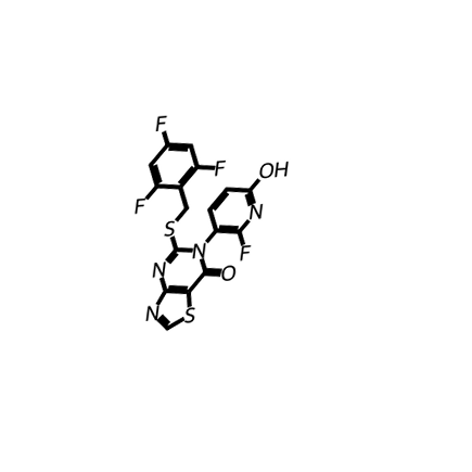 O=c1c2scnc2nc(SCc2c(F)cc(F)cc2F)n1-c1ccc(O)nc1F